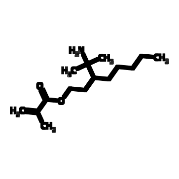 C=C(C)C(=O)OCCC(CCCCC)C(C)(C)N